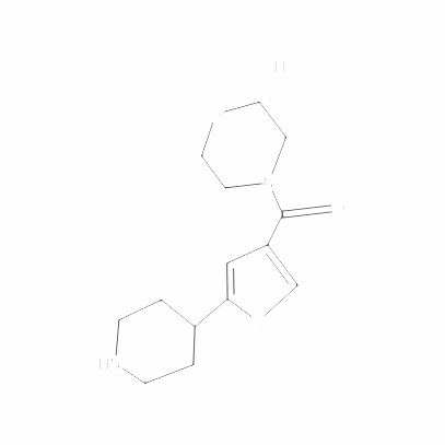 C[C@@H]1CN(C(=O)c2csc(C3CCNCC3)c2)C[C@H](C)O1